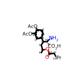 CC(=O)Oc1ccc(C(CC(C)OC(=O)CC(C)C)[C@H](N)C(=O)O)cc1OC(C)=O